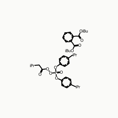 CC(C)CC(=O)OOP(=O)(Oc1ccc(C(C)C)cc1)Oc1ccc(C(C)C)cc1.CC(C)COC(=O)c1ccccc1C(=O)OCC(C)C